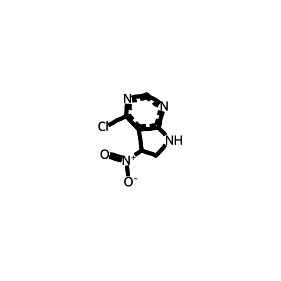 O=[N+]([O-])C1CNc2ncnc(Cl)c21